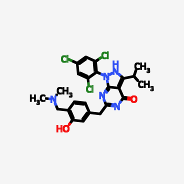 CC(C)c1[nH]n(-c2c(Cl)cc(Cl)cc2Cl)c2nc(Cc3ccc(CN(C)C)c(O)c3)nc(=O)c1-2